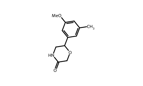 COc1cc(C)cc(C2CNC(=O)CO2)c1